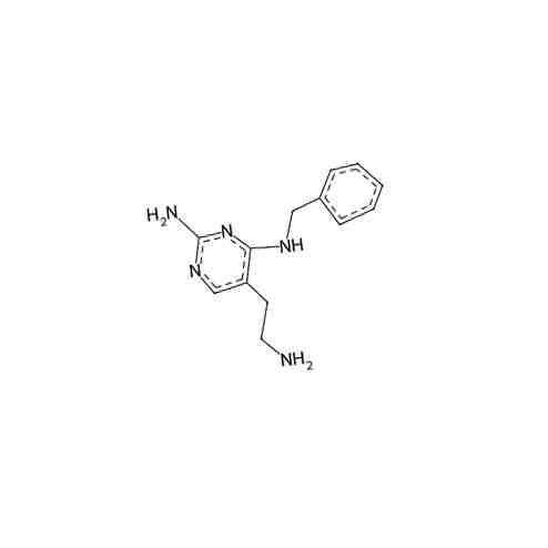 NCCc1cnc(N)nc1NCc1ccccc1